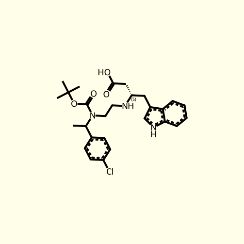 CC(c1ccc(Cl)cc1)N(CCN[C@H](CC(=O)O)Cc1c[nH]c2ccccc12)C(=O)OC(C)(C)C